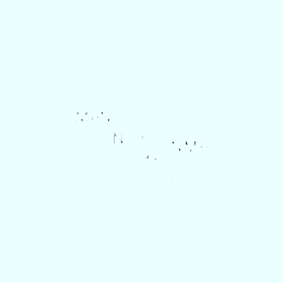 CNN(C)CC(C)(C)NC